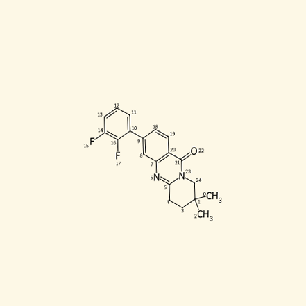 CC1(C)CCc2nc3cc(-c4cccc(F)c4F)ccc3c(=O)n2C1